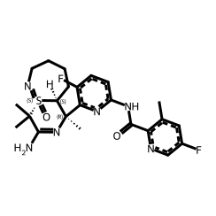 Cc1cc(F)cnc1C(=O)Nc1ccc(F)c([C@@]2(C)N=C(N)C(C)(C)[S@]3(=O)=NCCCC[C@@H]23)n1